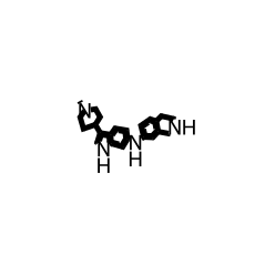 CN1CCC(c2c[nH]c3cc(Nc4ccc5c(c4)CNCC5)ccc23)CC1